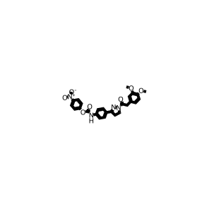 COc1ccc(CC(=O)N2CCC(c3ccc(NC(=O)Oc4ccc([N+](=O)[O-])cc4)cc3)=N2)cc1OC